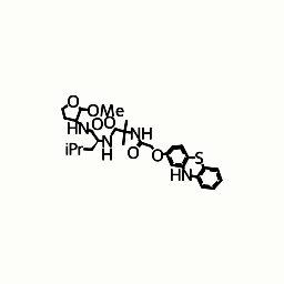 COC1OCC[C@@H]1NC(=O)[C@H](CC(C)C)NC(=O)C(C)(C)NC(=O)COc1ccc2c(c1)Nc1ccccc1S2